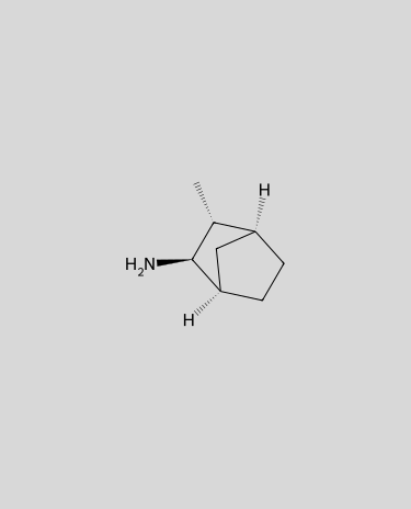 C[C@@H]1[C@H]2CC[C@H](C2)[C@H]1N